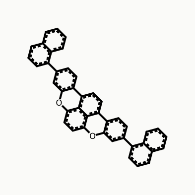 c1ccc2c(-c3ccc4c(c3)Oc3ccc5c6c(ccc-4c36)-c3ccc(-c4cccc6ccccc46)cc3O5)cccc2c1